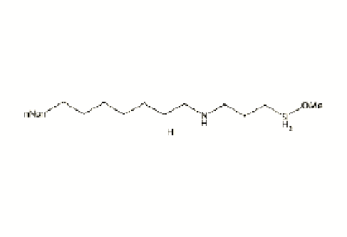 CCCCCCCCCCCCCCCCNCCC[SiH2]OC.I